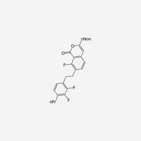 CCCCCCCCCc1cc2ccc(CCc3ccc(CCC)c(F)c3F)c(F)c2c(=O)o1